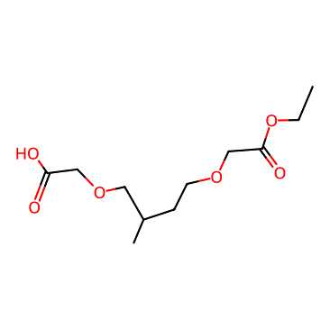 CCOC(=O)COCCC(C)COCC(=O)O